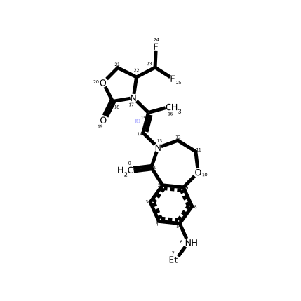 C=C1c2ccc(NCC)cc2OCCN1/C=C(\C)N1C(=O)OCC1C(F)F